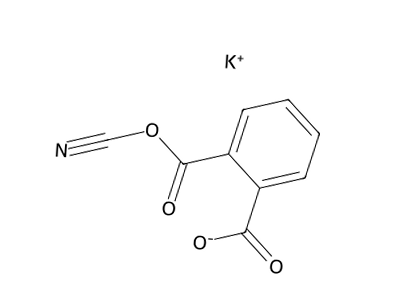 N#COC(=O)c1ccccc1C(=O)[O-].[K+]